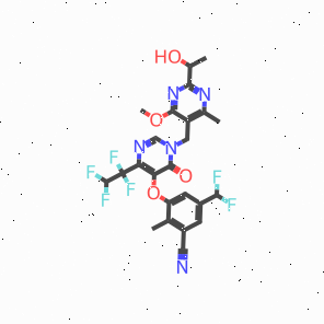 COc1nc(C(C)O)nc(C)c1Cn1cnc(C(F)(F)C(F)F)c(Oc2cc(C(F)F)cc(C#N)c2C)c1=O